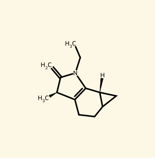 C=C1[C@H](C)C2=C([C@@H]3CC3CC2)N1CC